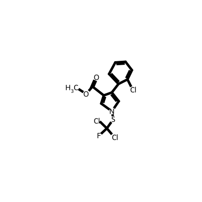 COC(=O)c1cn(SC(F)(Cl)Cl)cc1-c1ccccc1Cl